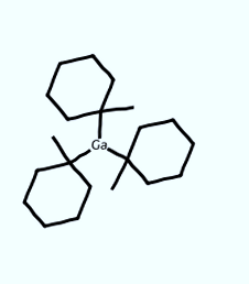 C[C]1([Ga]([C]2(C)CCCCC2)[C]2(C)CCCCC2)CCCCC1